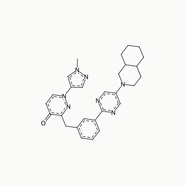 Cn1cc(-n2ccc(=O)c(Cc3cccc(-c4ncc(N5CCC6CCCCC6C5)cn4)c3)n2)cn1